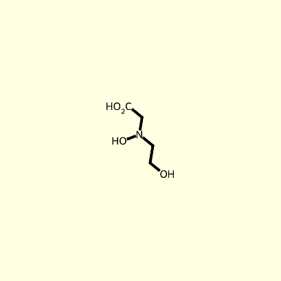 O=C(O)CN(O)CCO